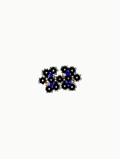 c1ccc2c(c1)Sc1c3c(c4c5c1-n1c6ccccc6c6cccc(c61)B5c1cc5c(cc1S4)Sc1c4c(c6c7c1-n1c8ccccc8c8cccc(c81)B7c1ccccc1S6)-n1c6ccccc6c6cccc(c61)B54)-n1c4ccccc4c4cccc(c41)B23